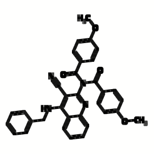 COc1ccc(C(=O)N(C(=O)c2ccc(OC)cc2)c2nc3ccccc3c(NCc3ccccc3)c2C#N)cc1